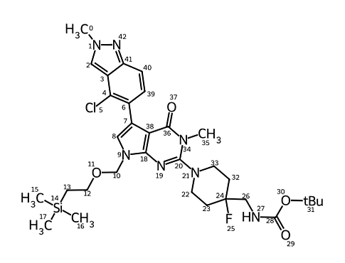 Cn1cc2c(Cl)c(-c3cn(COCC[Si](C)(C)C)c4nc(N5CCC(F)(CNC(=O)OC(C)(C)C)CC5)n(C)c(=O)c34)ccc2n1